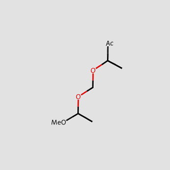 COC(C)OCOC(C)C(C)=O